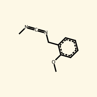 CN=C=NCc1ccccc1OC